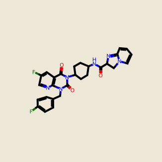 O=C(NC1CCC(n2c(=O)c3cc(F)cnc3n(Cc3ccc(F)cc3)c2=O)CC1)C1CN2C=CC=CC2=N1